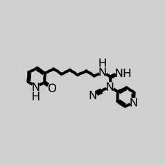 N#CN(C(=N)NCCCCCCc1ccc[nH]c1=O)c1ccncc1